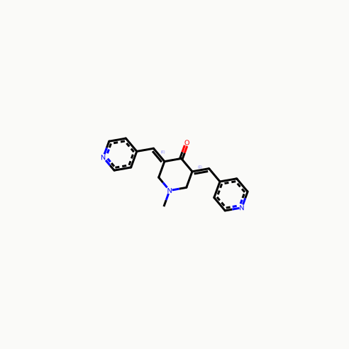 CN1C/C(=C\c2ccncc2)C(=O)/C(=C/c2ccncc2)C1